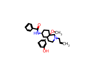 C=CCN1CC[C@@]2(c3cccc(O)c3)C[C@@H](NC(=O)c3ccccc3)CC[C@]2(OC)C1